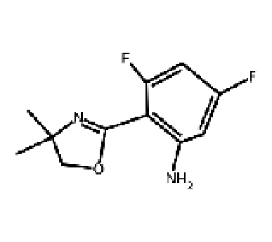 CC1(C)COC(c2c(N)cc(F)cc2F)=N1